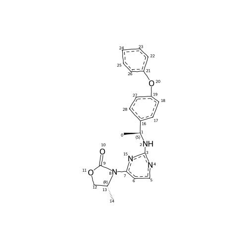 C[C@H](Nc1nccc(N2C(=O)OC[C@H]2C)n1)c1ccc(Oc2ccccc2)cc1